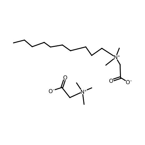 CCCCCCCCCC[N+](C)(C)CC(=O)[O-].C[N+](C)(C)CC(=O)[O-]